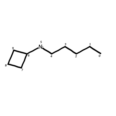 CCCCC[N]C1CCC1